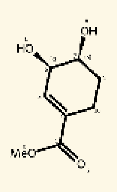 COC(=O)C1=C[C@@H](O)[C@@H](O)CC1